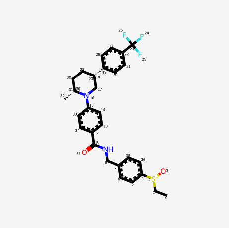 CC[S+]([O-])c1ccc(CNC(=O)c2ccc(N3C[C@@H](c4ccc(C(F)(F)F)cc4)CC[C@H]3C)cc2)cc1